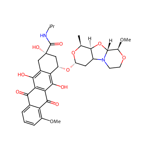 COc1cccc2c1C(=O)c1c(O)c3c(c(O)c1C2=O)C[C@@](O)(C(=O)NC(C)C)C[C@@H]3O[C@H]1CC2[C@H](O[C@@H]3[C@@H](OC)OCCN23)[C@H](C)O1